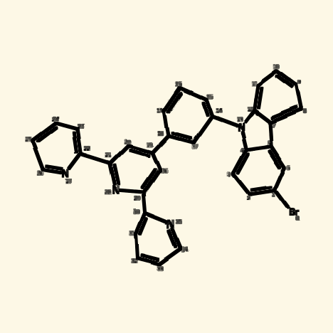 Brc1ccc2c(c1)c1ccccc1n2-c1cccc(-c2cc(-c3ccccn3)nc(-c3ccccn3)c2)c1